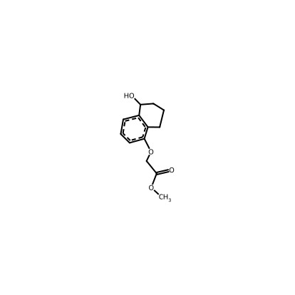 COC(=O)COc1cccc2c1CCCC2O